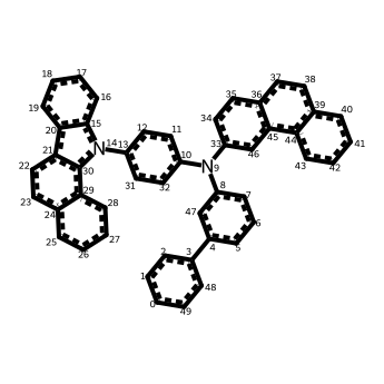 c1ccc(-c2cccc(N(c3ccc(-n4c5ccccc5c5ccc6ccccc6c54)cc3)c3ccc4ccc5ccccc5c4c3)c2)cc1